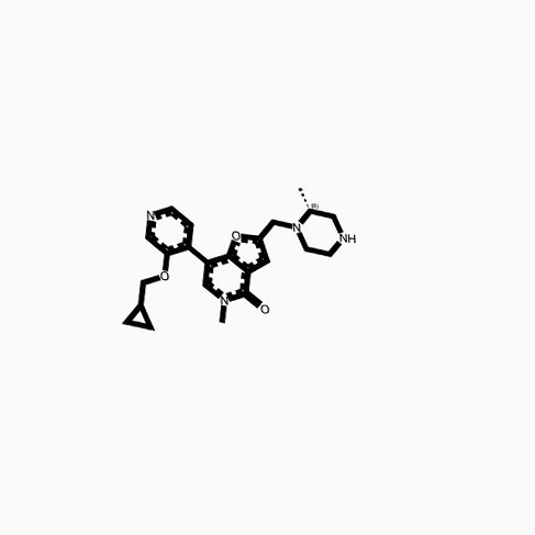 C[C@@H]1CNCCN1Cc1cc2c(=O)n(C)cc(-c3ccncc3OCC3CC3)c2o1